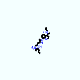 C=CCNC(=C)c1ccnc2c(NC(=C)CCC(=C)NC(CC=C)C(=C)N)cccc12